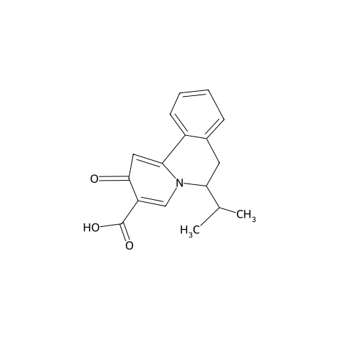 CC(C)C1Cc2ccccc2-c2cc(=O)c(C(=O)O)cn21